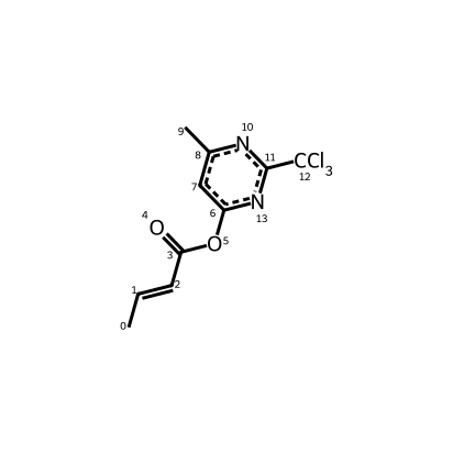 C/C=C/C(=O)Oc1cc(C)nc(C(Cl)(Cl)Cl)n1